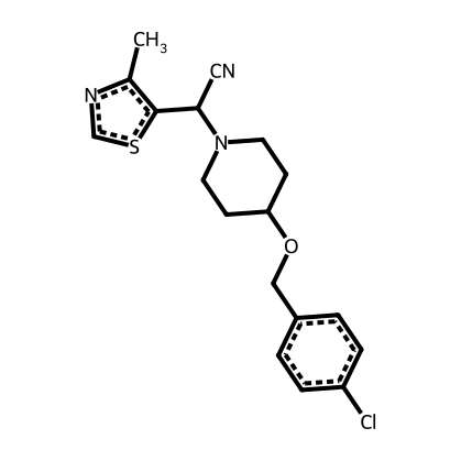 Cc1ncsc1C(C#N)N1CCC(OCc2ccc(Cl)cc2)CC1